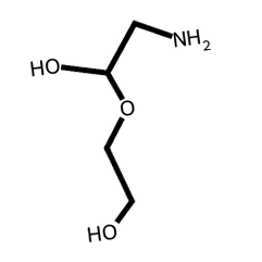 NCC(O)OCCO